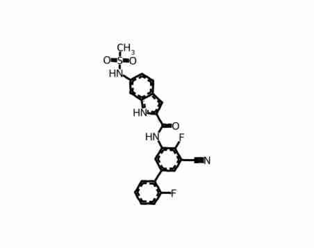 CS(=O)(=O)Nc1ccc2cc(C(=O)Nc3cc(-c4ccccc4F)cc(C#N)c3F)[nH]c2c1